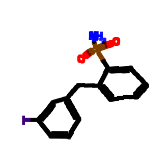 NS(=O)(=O)c1ccccc1Cc1cccc(I)c1